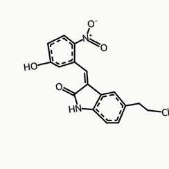 O=C1Nc2ccc(CCCl)cc2C1=Cc1cc(O)ccc1[N+](=O)[O-]